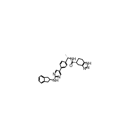 C[C@H](NC(=O)[C@H]1CCc2[nH]nnc2C1)c1ccc(-c2cnc(NC3Cc4ccccc4C3)nc2)cc1